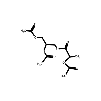 CC(=O)OCC(COC(=O)C(C)OC(C)=O)OC(C)=O